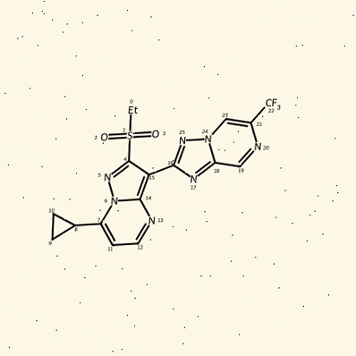 CCS(=O)(=O)c1nn2c(C3CC3)ccnc2c1-c1nc2cnc(C(F)(F)F)cn2n1